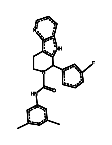 Cc1cc(C)cc(NC(=O)N2CCc3c([nH]c4cccnc34)C2c2cccc(F)c2)c1